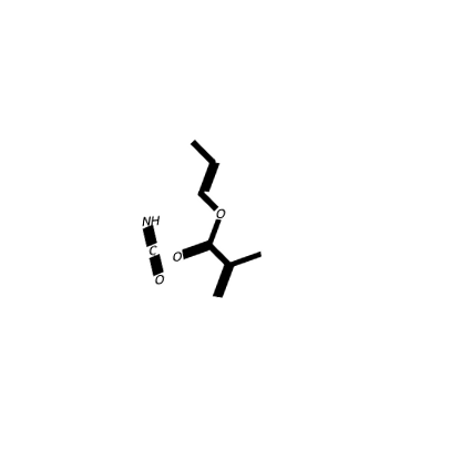 C=C(C)C(=O)OC=CC.N=C=O